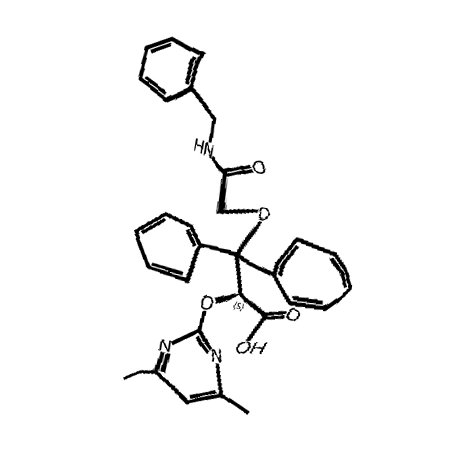 Cc1cc(C)nc(O[C@H](C(=O)O)C(OCC(=O)NCc2ccccc2)(c2ccccc2)c2ccccc2)n1